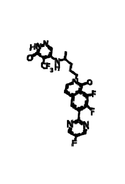 CC(CCCn1ccc2cc(-c3ncc(F)cn3)c(F)c(F)c2c1=O)Nc1cn[nH]c(=O)c1C(F)(F)F